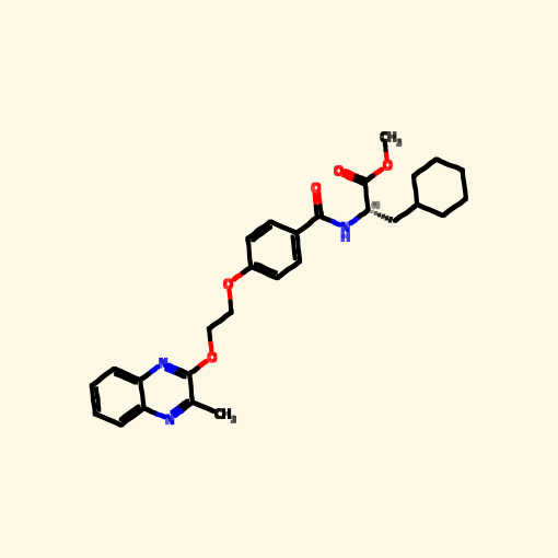 COC(=O)[C@H](CC1CCCCC1)NC(=O)c1ccc(OCCOc2nc3ccccc3nc2C)cc1